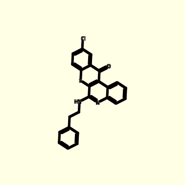 O=c1c2cc(Cl)ccc2sc2c(NCCc3ccccc3)nc3ccccc3c12